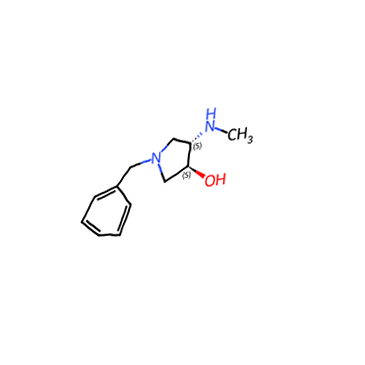 CN[C@H]1CN(Cc2ccccc2)C[C@@H]1O